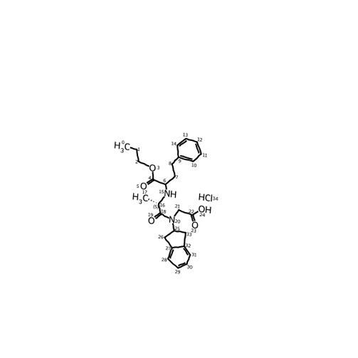 CCCOC(=O)C(CCc1ccccc1)N[C@@H](C)C(=O)N(CC(=O)O)C1Cc2ccccc2C1.Cl